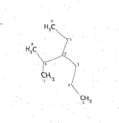 C[C]C(CCC)C(C)C